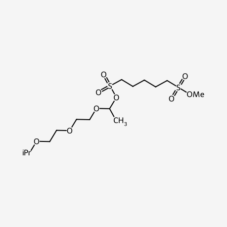 COS(=O)(=O)CCCCCS(=O)(=O)OC(C)OCCOCCOC(C)C